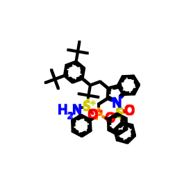 CC(C)(C)c1cc(C(Cc2c(CP(c3ccccc3)c3ccccc3)n(S(=O)(=O)c3ccccc3)c3ccccc23)C(C)(C)[S+](N)[O-])cc(C(C)(C)C)c1